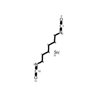 O=C=NCCCCCCN=C=O.[Sn]